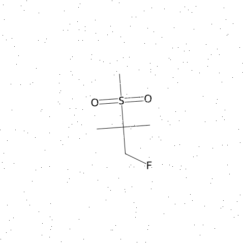 CC(C)(CF)S(C)(=O)=O